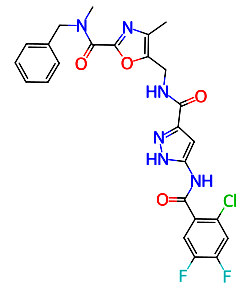 Cc1nc(C(=O)N(C)Cc2ccccc2)oc1CNC(=O)c1cc(NC(=O)c2cc(F)c(F)cc2Cl)[nH]n1